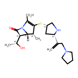 C=C(CN1CCCC1)[C@@H]1C[C@H](SC2=C(C(=O)O)N3C(=O)[C@H]([C@@H](C)O)[C@H]3[C@H]2C)CN1